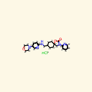 Cl.O=C1OC2(CCC(CNc3ccc(N4CCOCC4)cn3)CC2)CN1c1ccccn1